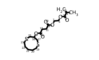 C=C(C)C(=O)OCCOC(=O)CCC(=O)OC1CSCCCCCSC1